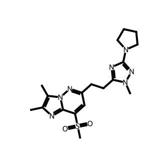 Cc1nc2c(S(C)(=O)=O)cc(CCc3nc(N4CCCC4)nn3C)nn2c1C